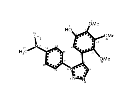 COc1c(O)cc(-c2cnnn2-c2ccc(N(C)C)cc2)c(OC)c1OC